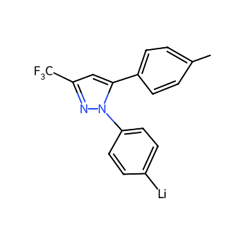 [Li][c]1ccc(-n2nc(C(F)(F)F)cc2-c2ccc(C)cc2)cc1